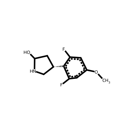 COc1cc(F)c([C@@H]2CNC(O)C2)c(F)c1